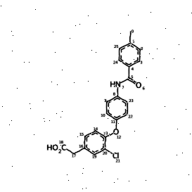 Cc1ccc(C(=O)Nc2ccc(Oc3ccc(CC(=O)O)cc3Cl)cc2)cc1